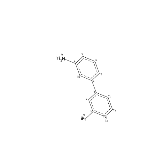 CC(C)c1cc(-c2cccc(N)c2)ccn1